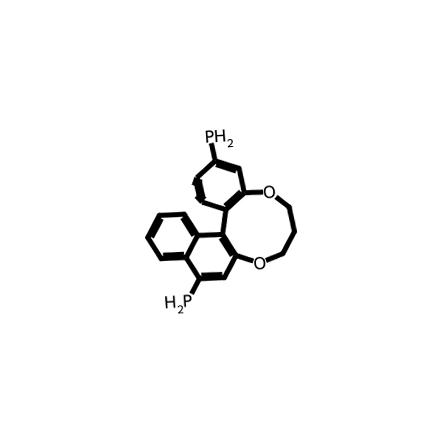 Pc1cc2c(c3ccccc13)-c1c(cc(P)c3ccccc13)OCCCO2